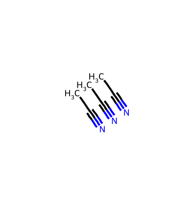 CC#N.CC#N.CC#N